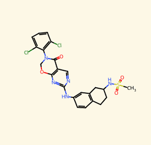 CS(=O)(=O)NC1CCc2ccc(Nc3ncc4c(n3)OCN(c3c(Cl)cccc3Cl)C4=O)cc2C1